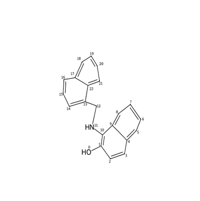 Oc1ccc2ccccc2c1NCc1cccc2ccccc12